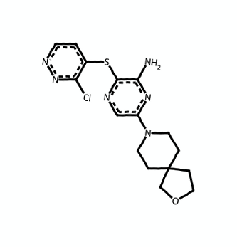 Nc1nc(N2CCC3(CCOC3)CC2)cnc1Sc1ccnnc1Cl